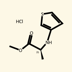 COC(=O)[C@H](C)Nc1ccsc1.Cl